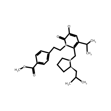 COC(=O)c1ccc(CCn2c(CN3CCC[C@@H]3CC(C)C)c(C(C)C)cc(Cl)c2=O)cc1